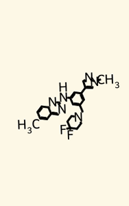 Cc1ccc2nc(Nc3cc(CN4CCC(F)(F)CC4)cc(-c4cnn(C)c4)c3)ncc2c1